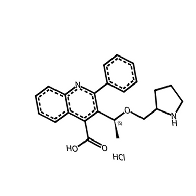 C[C@H](OCC1CCCN1)c1c(-c2ccccc2)nc2ccccc2c1C(=O)O.Cl